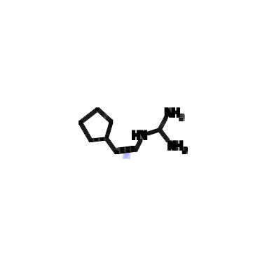 NC(N)N/C=C\C1CCCC1